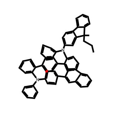 CCCC1(C)c2ccccc2-c2ccc(N(c3ccccc3)c3ccccc3-c3ccc(-c4ccccc4N(c4ccccc4)c4ccc(-c5ccc6ccccc6c5)cc4)cc3)cc21